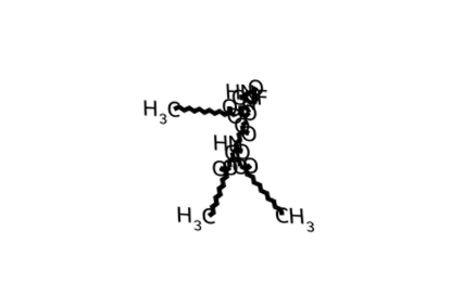 CCCCCCCCCCCC(=O)OCC(COC(=O)CCCCCCCCCC)OC(=O)NCCC(=O)OC[C@H]1O[C@@H](n2cc(F)c(=O)[nH]c2=O)C[C@@H]1OC(=O)CCCCCCCCCCC